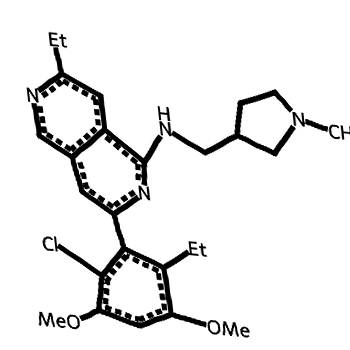 CCc1cc2c(NCC3CCN(C)C3)nc(-c3c(Cl)c(OC)cc(OC)c3CC)cc2cn1